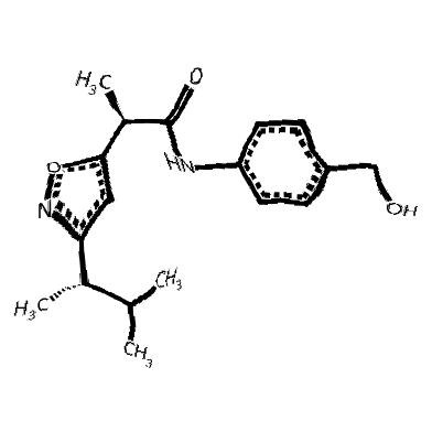 CC(C)[C@H](C)c1cc([C@@H](C)C(=O)Nc2ccc(CO)cc2)on1